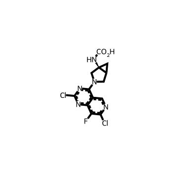 O=C(O)N[C@@]12CC1CN(c1nc(Cl)nc3c(F)c(Cl)ncc13)C2